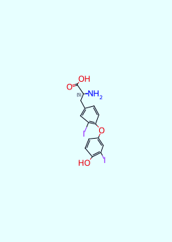 N[C@@H](Cc1ccc(Oc2ccc(O)c(I)c2)c(I)c1)C(=O)O